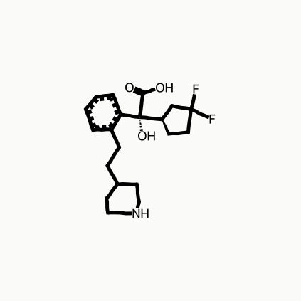 O=C(O)[C@](O)(c1ccccc1CCC1CCNCC1)[C@@H]1CCC(F)(F)C1